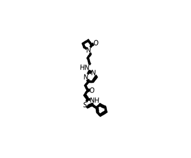 O=C(C=C1NC(c2ccccc2)=CS1)Cc1ccnc(NCCCN2CCCC2=O)n1